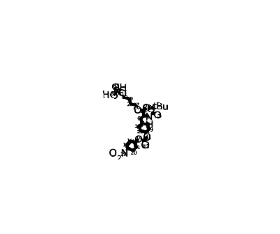 CC(C)(C)OC(=O)NC(Cc1ccc(OC(=O)Oc2ccc([N+](=O)[O-])cc2)cc1)C(=O)OCCCCON(O)O